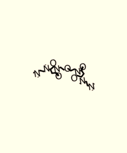 CN(C)CCN(C)C1CC(=O)N(CCOCCN2C(=O)CC(N(C)CCN(C)C)C2=O)C1=O